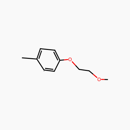 COCCOc1c[c]c(C)cc1